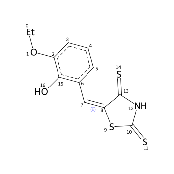 CCOc1cccc(/C=C2/SC(=S)NC2=S)c1O